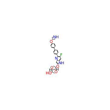 O[C@@H]1CO[C@H]2[C@@H]1OC[C@H]2Oc1cc2nc(-c3ccc(-c4ccc(OC5CNC5)cc4)cc3)c(F)cc2[nH]1